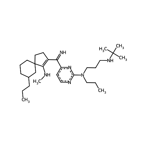 CCCC1CCCC2(CCC(C(=N)c3ccnc(N(CCC)CCCNC(C)(C)C)n3)=C2NC)C1